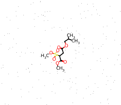 COC(=O)C(CC(=O)OCC(C)C)S(=O)(=O)OC